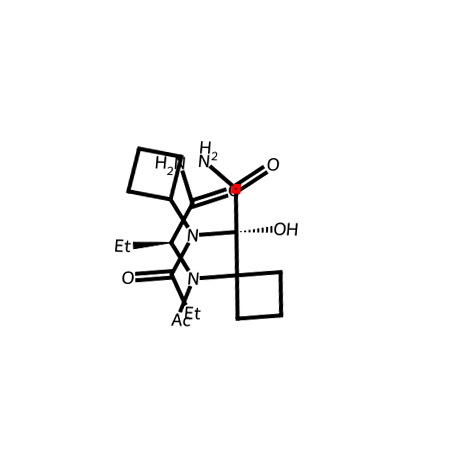 CCC(=O)N(C1CCC1)[C@@](O)(C(N)=O)C1(N(C(C)=O)[C@@H](CC)C(N)=O)CCC1